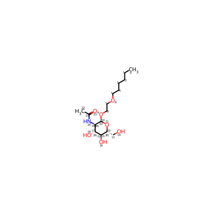 CCCCCCOCCO[C@H]1O[C@H](CO)[C@@H](O)[C@H](O)[C@H]1NC(C)=O